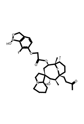 CC(=O)CC[C@]12CC[C@@H](C)[C@](C)(C1)[C@H](OC(=O)COc1ccc3c(c1F)B(O)OC3)C[C@@]1(CCN3CCCCC31)[C@@H](O)[C@@H]2C